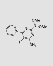 CON(OC)c1nc(N)c(F)c(-c2ccccc2)n1